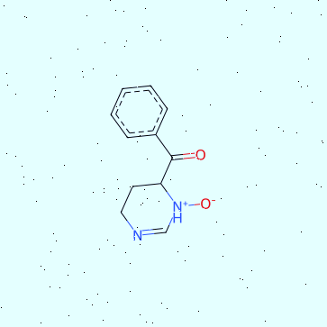 O=C(c1ccccc1)C1CCN=C[NH+]1[O-]